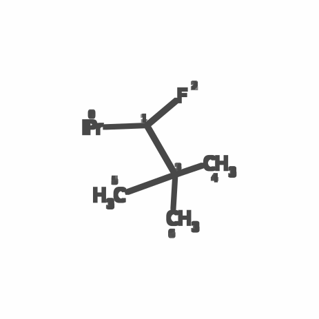 CC(C)C(F)C(C)(C)C